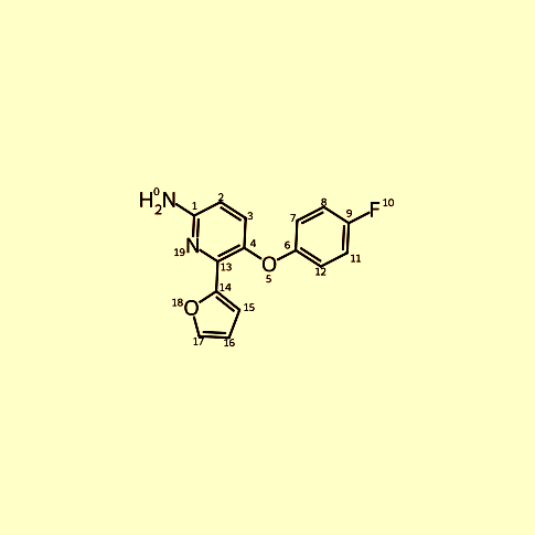 Nc1ccc(Oc2ccc(F)cc2)c(-c2ccco2)n1